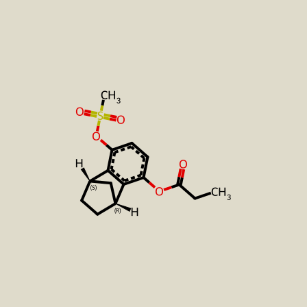 CCC(=O)Oc1ccc(OS(C)(=O)=O)c2c1[C@@H]1CC[C@H]2C1